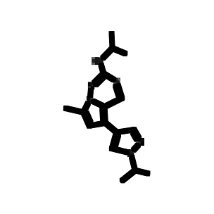 Cc1cc(-c2cnn(C(C)C)c2)c2cnc(NC(C)C)nn12